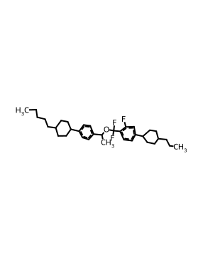 CCCCCC1CCC(c2ccc(C(C)OC(F)(F)c3ccc(C4CCC(CCC)CC4)cc3F)cc2)CC1